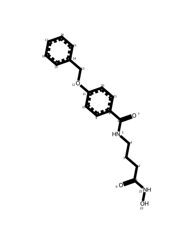 O=C(CCCNC(=O)c1ccc(OCc2ccccc2)cc1)NO